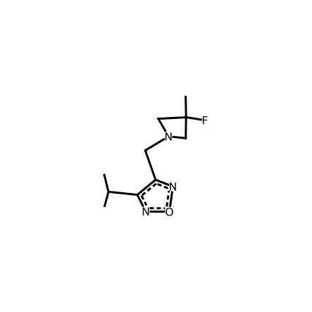 CC(C)c1nonc1CN1CC(C)(F)C1